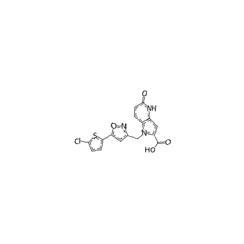 O=C(O)c1cc2[nH]c(=O)ccc2n1Cc1cc(-c2ccc(Cl)s2)on1